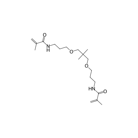 C=C(C)C(=O)NCCCOCC(C)(C)COCCCNC(=O)C(=C)C